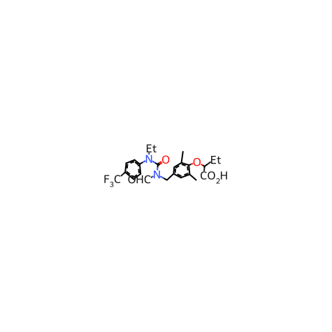 CCC(Oc1c(C)cc(CN(C=O)C(=O)N(CC)c2ccc(C(F)(F)F)cc2)cc1C)C(=O)O